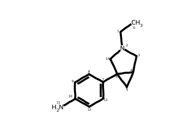 CCN1CC2CC2(c2ccc(N)cc2)C1